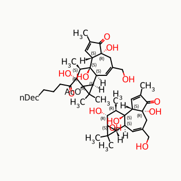 CC1=C[C@H]2[C@@]3(O)[C@H](C)[C@@H](O)[C@]4(O)[C@H]([C@@H]3C=C(CO)C[C@]2(O)C1=O)C4(C)C.CCCCCCCCCCCCCC(=O)[C@@]1(O)[C@@H](C)[C@@]2(O)[C@@H](C=C(CO)C[C@]3(O)C(=O)C(C)=C[C@@H]23)[C@H]2C(C)(C)[C@@]21OC(C)=O